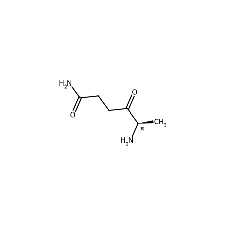 C[C@@H](N)C(=O)CCC(N)=O